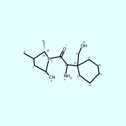 CC1CC(C#N)N(C(=O)C(N)C2(CO)CCCCC2)[C@H]1C